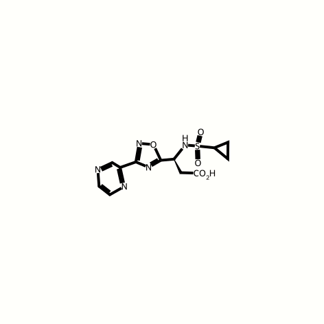 O=C(O)C[C@H](NS(=O)(=O)C1CC1)c1nc(-c2cnccn2)no1